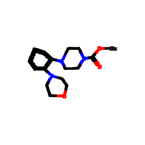 CC(C)(C)OC(=O)N1CCN(c2ccccc2N2CCOCC2)CC1